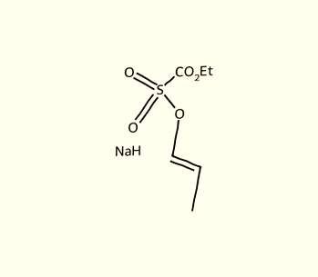 CC=COS(=O)(=O)C(=O)OCC.[NaH]